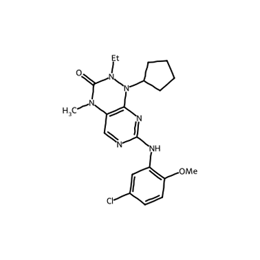 CCN1C(=O)N(C)c2cnc(Nc3cc(Cl)ccc3OC)nc2N1C1CCCC1